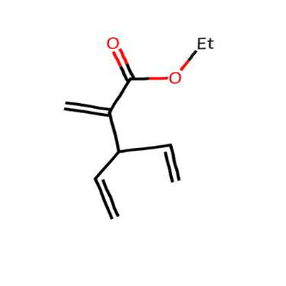 C=CC(C=C)C(=C)C(=O)OCC